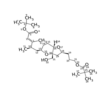 C/C(=C\C(=O)OC(C)(C)C)[C@H](C)C[C@H]1CC[C@@H]2O[C@@H](CCCOC(=O)C(C)(C)C)C[C@]2(CO)O1